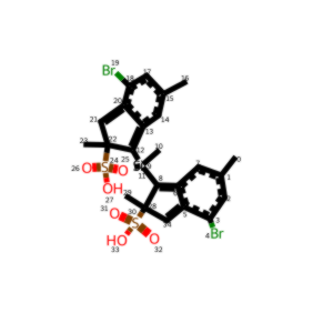 Cc1cc(Br)c2c(c1)=C([Si](C)(C)C1=c3cc(C)cc(Br)c3=CC1(C)S(=O)(=O)O)C(C)(S(=O)(=O)O)C=2